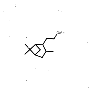 COCCC1C(C)CC2CC1C2(C)C